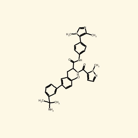 Cc1ncn(C)c1-c1ccc(NC(=O)C(Cc2cc(-c3cccc(C(C)(C)N)c3)ccc2Cl)NC(=O)c2ccnn2C)cc1